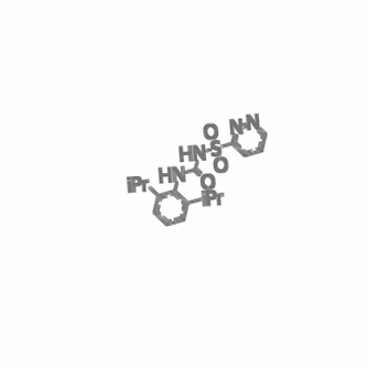 CC(C)c1cccc(C(C)C)c1NC(=O)NS(=O)(=O)c1cccnn1